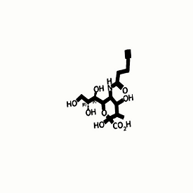 C#CCCC(=O)NC1C(O)C(C)C(O)(C(=O)O)OC1[C@H](O)[C@H](O)CO